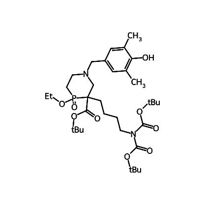 CCOP1(=O)CCN(Cc2cc(C)c(O)c(C)c2)CC1(CCCCN(C(=O)OC(C)(C)C)C(=O)OC(C)(C)C)C(=O)OC(C)(C)C